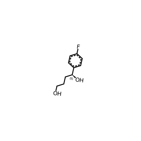 OCCC[C@H](O)c1ccc(F)cc1